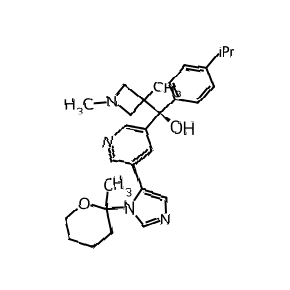 CC(C)c1ccc([C@](O)(c2cncc(-c3cncn3C3(C)CCCCO3)c2)C2(C)CN(C)C2)cc1